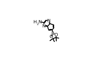 CC1(C)OB(c2ccc3ncc(N)nc3c2)OC1(C)C